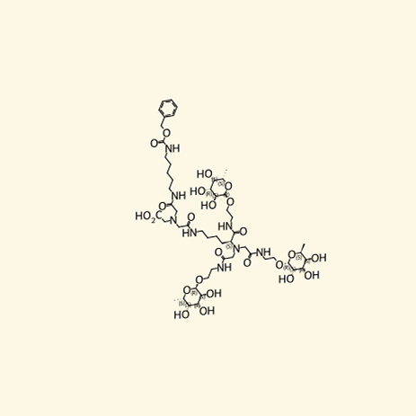 C[C@@H]1O[C@@H](OCCNC(=O)CN(CC(=O)NCCO[C@@H]2O[C@@H](C)[C@@H](O)[C@@H](O)[C@@H]2O)[C@@H](CCCCNC(=O)CN(CC(=O)O)CC(=O)NCCCCCNC(=O)OCc2ccccc2)C(=O)NCCO[C@@H]2O[C@@H](C)[C@@H](O)[C@@H](O)[C@@H]2O)[C@@H](O)[C@H](O)[C@@H]1O